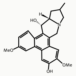 COc1ccc2c3c(c4cc(OC)c(O)cc4c2c1)CN1CC(C)C[C@H]1[C@H]3O